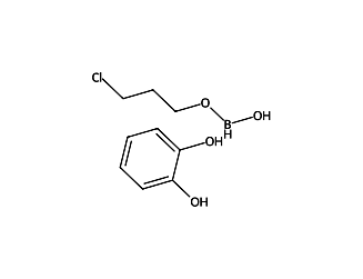 OBOCCCCl.Oc1ccccc1O